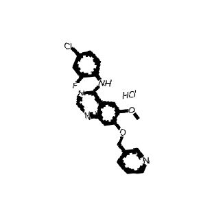 COc1cc2c(Nc3ccc(Cl)cc3F)ncnc2cc1OCc1cccnc1.Cl